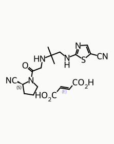 CC(C)(CNc1ncc(C#N)s1)NCC(=O)N1CCC[C@H]1C#N.O=C(O)/C=C/C(=O)O